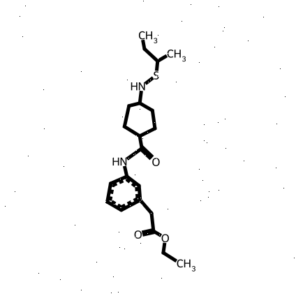 CCOC(=O)Cc1cccc(NC(=O)C2CCC(NSC(C)CC)CC2)c1